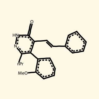 CCCc1n[nH]c(=O)c(C=Cc2ccccc2)c1-c1ccccc1OC